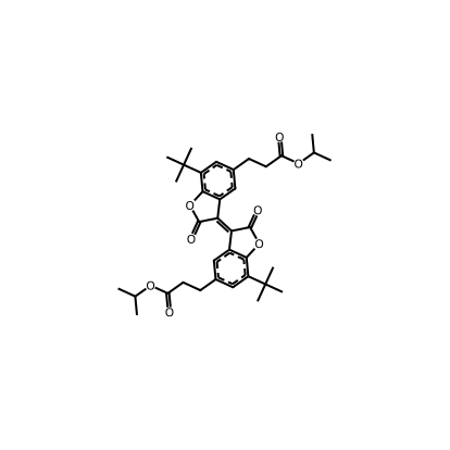 CC(C)OC(=O)CCc1cc2c(c(C(C)(C)C)c1)OC(=O)C2=C1C(=O)Oc2c1cc(CCC(=O)OC(C)C)cc2C(C)(C)C